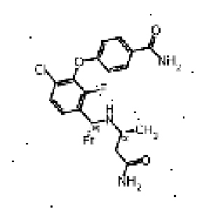 CC[C@@H](N[C@@H](C)CC(N)=O)c1ccc(Cl)c(Oc2ccc(C(N)=O)cc2)c1F